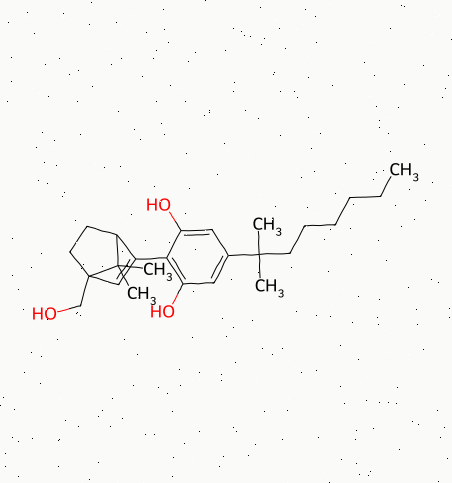 CCCCCCC(C)(C)c1cc(O)c(C2=CC3(CO)CCC2C3(C)C)c(O)c1